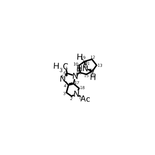 CC(=O)N1CCc2nc(C)n([C@H]3C[C@H]4CC[C@@H](C3)N4)c2C1